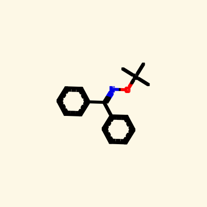 C[Si](C)(C)ON=C(c1ccccc1)c1ccccc1